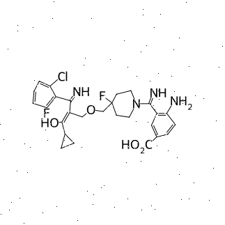 N=C(/C(COCC1(F)CCN(C(=N)c2cc(C(=O)O)ccc2N)CC1)=C(\O)C1CC1)c1c(F)cccc1Cl